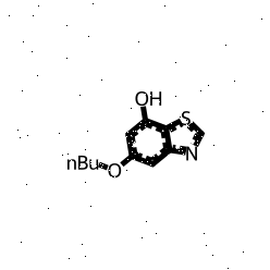 CCCCOc1cc(O)c2scnc2c1